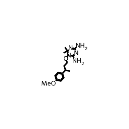 COc1ccc(C(C)CCON2C(N)=NC(N)=NC2(C)C)cc1